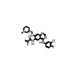 C=C(F)C(=O)Nc1cc2c(Nc3ccc(F)c(Cl)c3)ncnc2cc1OC[C@@H]1CCCN(C)C1